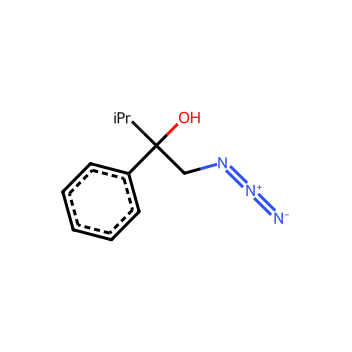 CC(C)C(O)(CN=[N+]=[N-])c1ccccc1